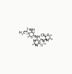 C=C1CNc2cc(Nc3ncnc4c3CN(c3ncccc3Cl)CC4)ccc21